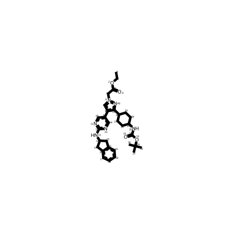 CCOC(=O)Cn1cc(-c2cnc(NC3Cc4ccccc4C3)nc2)c(C2CCC(NC(=O)OC(C)(C)C)CC2)n1